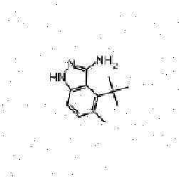 Cc1ccc2[nH]nc(N)c2c1C(C)(C)C